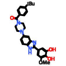 COc1cc(-c2nc3cc(N4CCN(C(=O)c5ccc(C(C)(C)C)cc5)CC4)ccc3[nH]2)cc(O)c1O